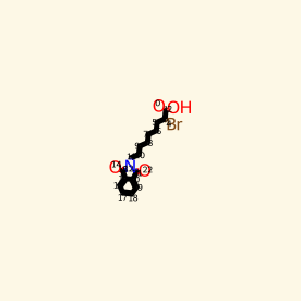 O=C(O)C(Br)CCCCCCCN1C(=O)c2ccccc2C1=O